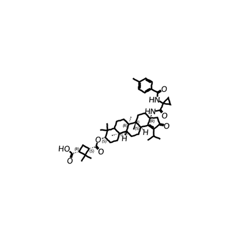 Cc1ccc(C(=O)NC2(C(=O)N[C@@]34CC[C@]5(C)[C@H](CC[C@@H]6[C@@]7(C)CC[C@H](OC(=O)[C@H]8C[C@@H](C(=O)O)C8(C)C)C(C)(C)C7CC[C@]65C)C3=C(C(C)C)C(=O)C4)CC2)cc1